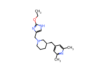 CCOc1nc(CN2CCC[C@H](Cc3cc(C)nc(C)c3)C2)c[nH]1